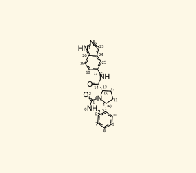 NC(=O)N1[C@@H](c2ccccc2)CC[C@H]1C(=O)Nc1ccc2[nH]ncc2c1